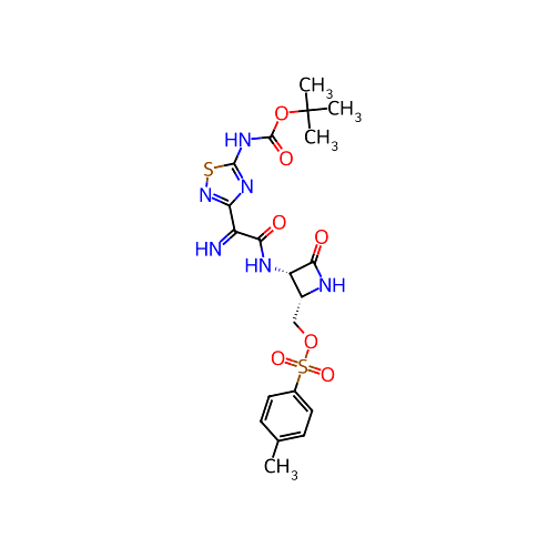 Cc1ccc(S(=O)(=O)OC[C@H]2NC(=O)[C@H]2NC(=O)C(=N)c2nsc(NC(=O)OC(C)(C)C)n2)cc1